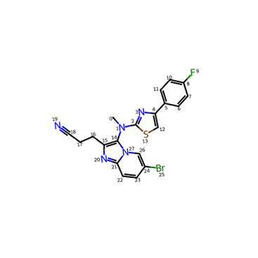 CN(c1nc(-c2ccc(F)cc2)cs1)c1c(CCC#N)nc2ccc(Br)cn12